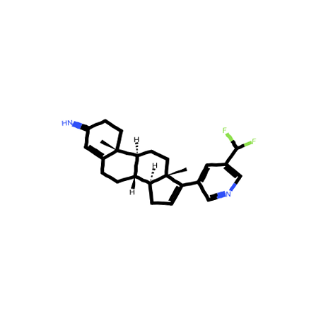 C[C@]12CCC(=N)C=C1CC[C@@H]1[C@@H]2CC[C@]2(C)C(c3cncc(C(F)F)c3)=CC[C@@H]12